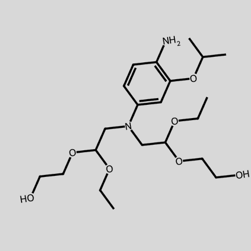 CCOC(CN(CC(OCC)OCCO)c1ccc(N)c(OC(C)C)c1)OCCO